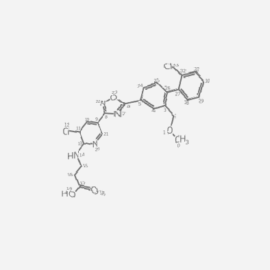 COCc1cc(-c2nc(C3=CC(Cl)C(NCCC(=O)O)N=C3)no2)ccc1-c1ccccc1Cl